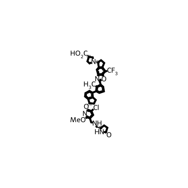 COc1nc(O[C@H]2CCc3c(-c4cccc(-c5nc6cc7c(c(C(F)(F)F)c6o5)CC[C@H]7N5CC[C@@H](C(=O)O)C5)c4C)cccc32)c(Cl)cc1CNC[C@H]1CCC(=O)N1